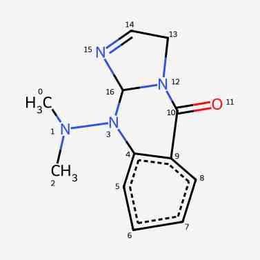 CN(C)N1c2ccccc2C(=O)N2CC=NC21